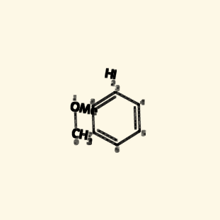 COC.I.c1ccccc1